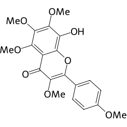 COc1ccc(-c2oc3c(O)c(OC)c(OC)c(OC)c3c(=O)c2OC)cc1